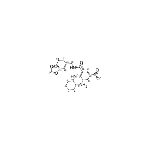 NC1CCCCC1Nc1ccc([N+](=O)[O-])cc1C(=O)NCc1ccc2c(c1)OCO2